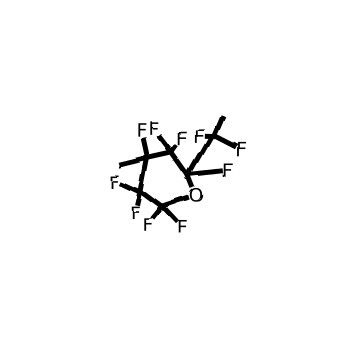 CC(F)(F)C1(F)OC(F)(F)C(F)(F)C(C)(F)C1(F)F